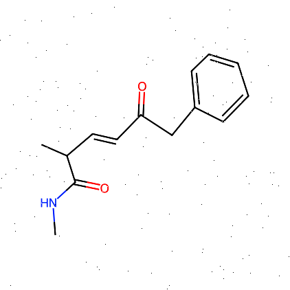 CNC(=O)C(C)C=CC(=O)Cc1ccccc1